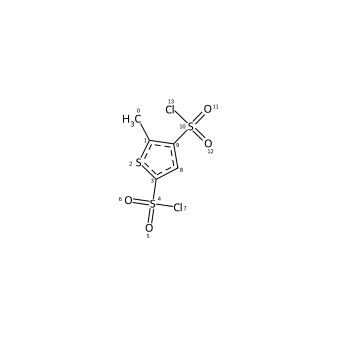 Cc1sc(S(=O)(=O)Cl)cc1S(=O)(=O)Cl